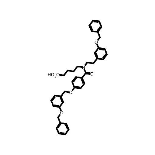 O=C(O)CCCCN(CCc1cccc(OCc2ccccc2)c1)C(=O)c1ccc(OCc2cccc(OCc3ccccc3)c2)cc1